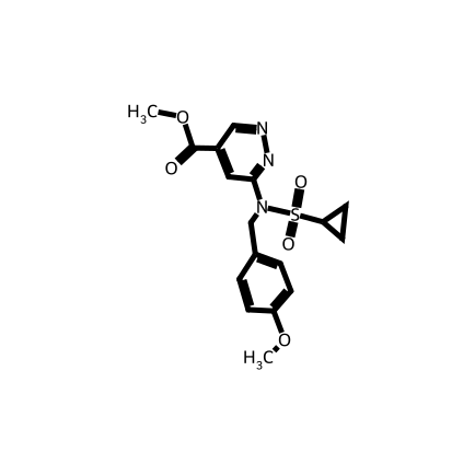 COC(=O)c1cnnc(N(Cc2ccc(OC)cc2)S(=O)(=O)C2CC2)c1